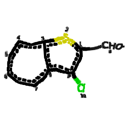 O=[C]c1sc2ccccc2c1Cl